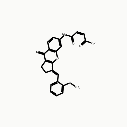 COc1ccccc1C=C1CCc2c1oc1cc(NC(=O)/C=C\C(=O)O)ccc1c2=O